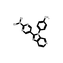 CCN(CC)c1ncc(-c2nc3ccncc3n2-c2ccc(C)cc2)cn1